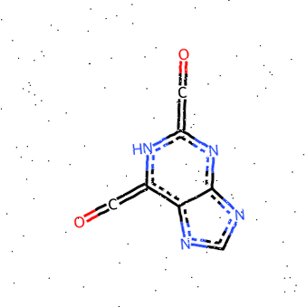 O=C=c1nc2ncnc-2c(=C=O)[nH]1